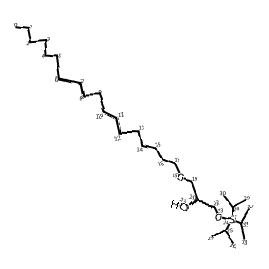 CCCCCCCCCCCCCCCCCCOCC(O)CO[Si](C(C)C)(C(C)C)C(C)C